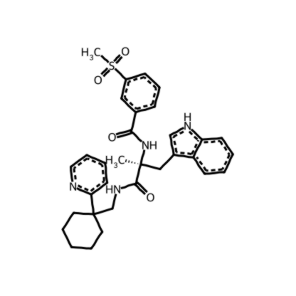 C[C@@](Cc1c[nH]c2ccccc12)(NC(=O)c1cccc(S(C)(=O)=O)c1)C(=O)NCC1(c2ccccn2)CCCCC1